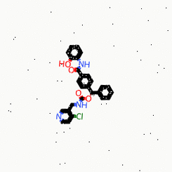 O=C(NCc1cnccc1Cl)O[C@@H](c1ccccc1)c1ccc(C(=O)Nc2ccccc2O)cc1